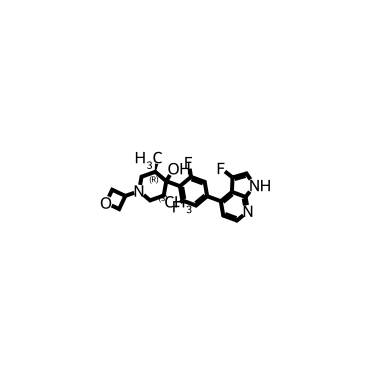 C[C@@H]1CN(C2COC2)C[C@H](C)C1(O)c1c(F)cc(-c2ccnc3[nH]cc(F)c23)cc1F